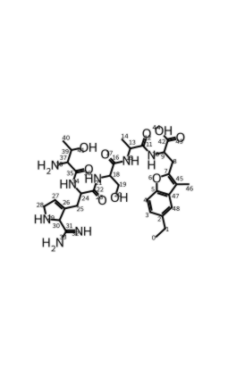 CCc1ccc2oc(CC(NC(=O)C(C)NC(=O)C(CO)NC(=O)C(CC3=CCNC3C(=N)N)NC(=O)C(N)C(C)O)C(=O)O)c(C)c2c1